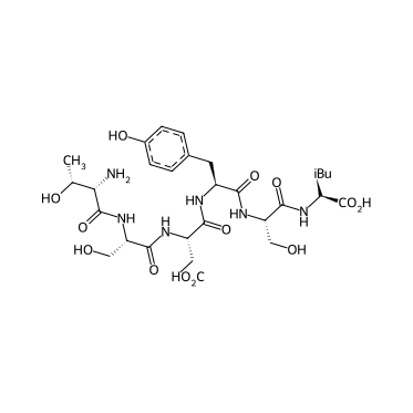 CC[C@H](C)[C@H](NC(=O)[C@H](CO)NC(=O)[C@H](Cc1ccc(O)cc1)NC(=O)[C@H](CC(=O)O)NC(=O)[C@H](CO)NC(=O)[C@@H](N)[C@@H](C)O)C(=O)O